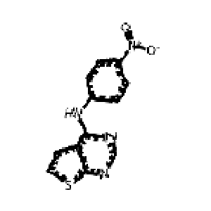 O=[N+]([O-])c1ccc(Nc2ncnc3sccc23)cc1